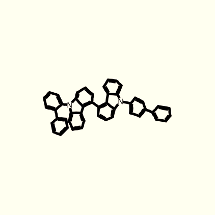 c1ccc(-c2ccc(-n3c4ccccc4c4c(-c5cccc6c5c5ccccc5n6-c5ccccc5-c5ccccc5)cccc43)cc2)cc1